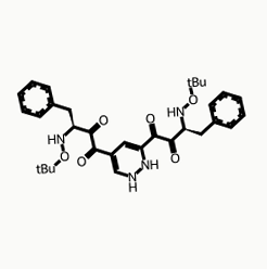 CC(C)(C)ON[C@@H](Cc1ccccc1)C(=O)C(=O)C1=CNNC(C(=O)C(=O)[C@H](Cc2ccccc2)NOC(C)(C)C)=C1